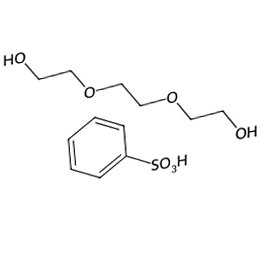 O=S(=O)(O)c1ccccc1.OCCOCCOCCO